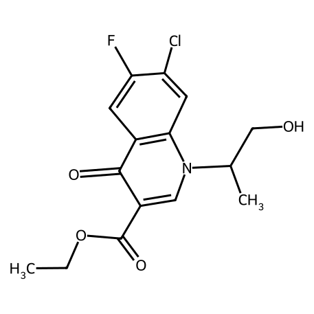 CCOC(=O)c1cn(C(C)CO)c2cc(Cl)c(F)cc2c1=O